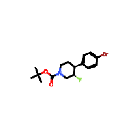 CC(C)(C)OC(=O)N1CC[C@@H](c2ccc(Br)cc2)[C@H](F)C1